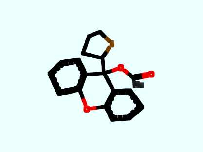 CC(C)(C)C(=O)OC1(C2CCCS2)c2ccccc2Oc2ccccc21